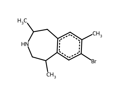 Cc1cc2c(cc1Br)C(C)CNC(C)C2